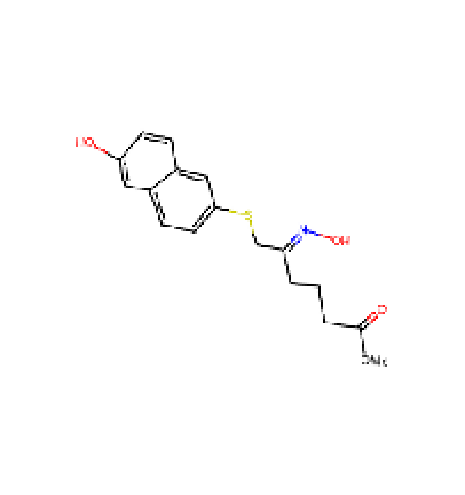 COC(=O)CCCC(CSc1ccc2cc(O)ccc2c1)=NO